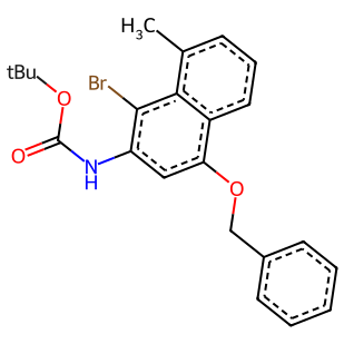 Cc1cccc2c(OCc3ccccc3)cc(NC(=O)OC(C)(C)C)c(Br)c12